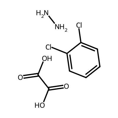 Clc1ccccc1Cl.NN.O=C(O)C(=O)O